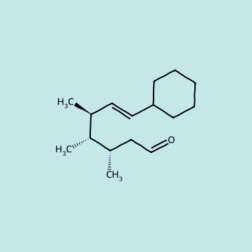 C[C@H]([C@@H](C)/C=C/C1CCCCC1)[C@@H](C)CC=O